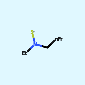 CCCCN([S])CC